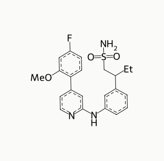 CCC(CS(N)(=O)=O)c1cccc(Nc2cc(-c3ccc(F)cc3OC)ccn2)c1